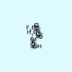 CC1CN(CCCC(=O)N2CCC3(CC3)C(O)C2)C(=O)CCN1c1ccc(Cl)c(C(F)(F)F)c1